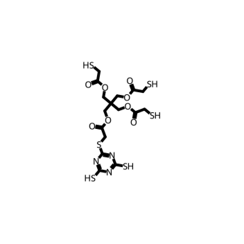 O=C(CS)OCC(COC(=O)CS)(COC(=O)CS)COC(=O)CSc1nc(S)nc(S)n1